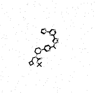 CC(c1ccc(N2CCC[C@@H](N(CC3CCC3)C(=O)OC(C)(C)C)C2)cn1)n1cc(-c2cncc(-n3cccn3)n2)nn1